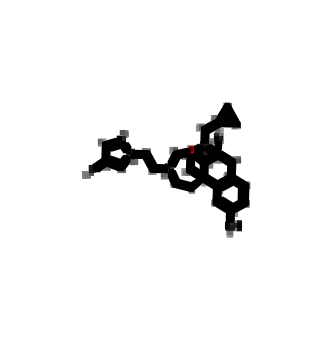 Oc1ccc2c(c1)[C@@]13CCN(CCn4cc(F)cn4)CC[C@@]1(O)[C@@H](C2)N(CC1CC1)CC3